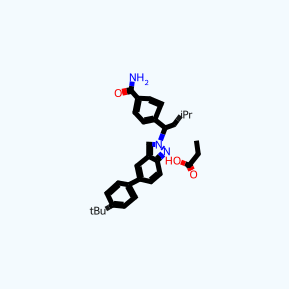 CC(C)CC(c1ccc(C(N)=O)cc1)n1cc2cc(-c3ccc(C(C)(C)C)cc3)ccc2n1.CCC(=O)O